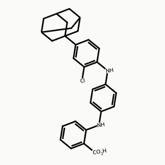 O=C(O)c1ccccc1Nc1ccc(Nc2ccc(C34CC5CC(CC(C5)C3)C4)cc2Cl)cc1